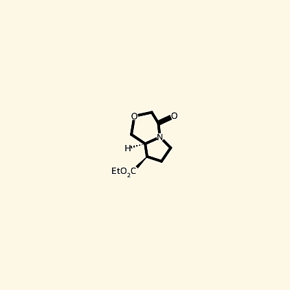 CCOC(=O)[C@@H]1CCN2C(=O)COC[C@H]12